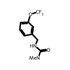 CNC(=O)NCc1cccc(OC(F)(F)F)c1